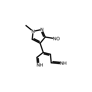 Cn1cc(/C(C=N)=C/C=N)c(N=O)n1